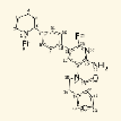 CCN1CCCCC1c1ccc(-c2cc(N3CCc4ccccc4C3=O)c(N)nc2F)cc1